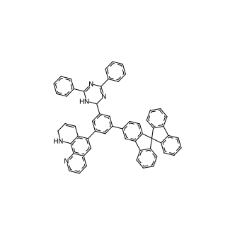 C1=Cc2c(-c3cc(-c4ccc5c(c4)-c4ccccc4C54c5ccccc5-c5ccccc54)cc(C4N=C(c5ccccc5)N=C(c5ccccc5)N4)c3)cc3cccnc3c2NC1